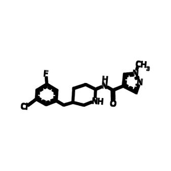 Cn1cc(C(=O)NC2CCC(Cc3cc(F)cc(Cl)c3)CN2)cn1